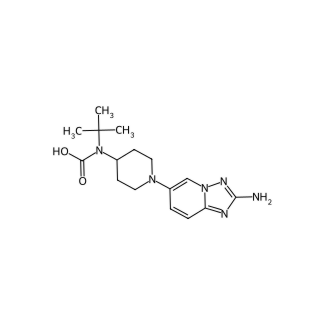 CC(C)(C)N(C(=O)O)C1CCN(c2ccc3nc(N)nn3c2)CC1